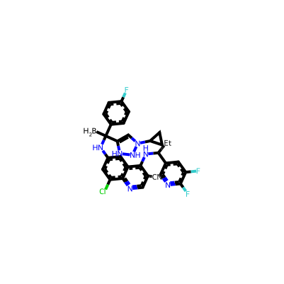 BC(Nc1cc(Cl)c2ncc(C#N)c(NC(CC)c3cnc(F)c(F)c3)c2c1)(C1=CN(C2CC2)NN1)c1ccc(F)cc1